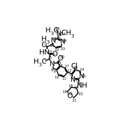 CC(NC(=O)C(C)N1Cc2ccc(-c3nc(NC4CCOCC4)ncc3Cl)cc2C1=O)c1ccnc(N(C)C)n1